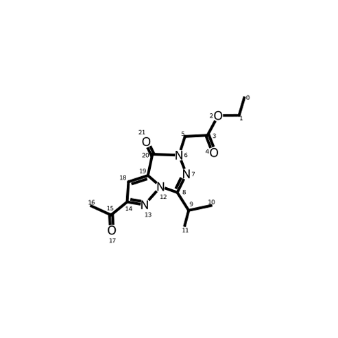 CCOC(=O)Cn1nc(C(C)C)n2nc(C(C)=O)cc2c1=O